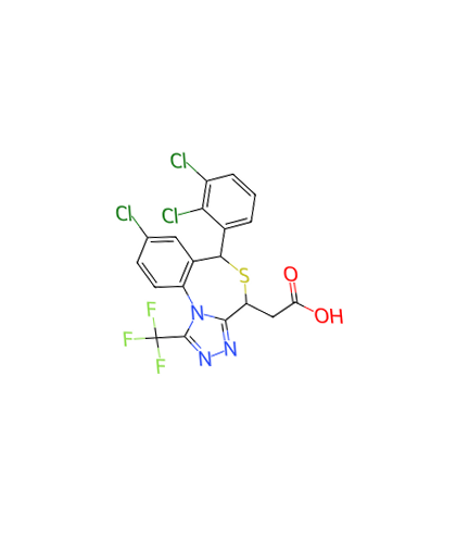 O=C(O)CC1SC(c2cccc(Cl)c2Cl)c2cc(Cl)ccc2-n2c1nnc2C(F)(F)F